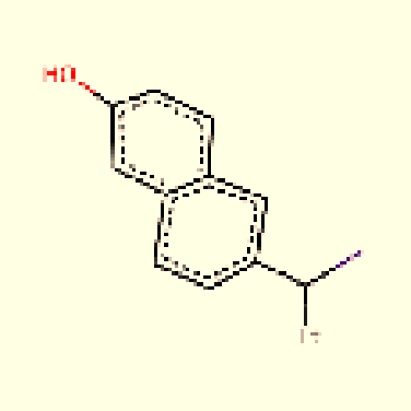 CCC(I)c1ccc2cc(O)ccc2c1